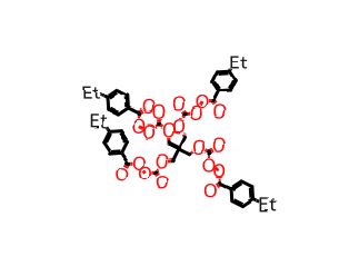 CCc1ccc(C(=O)OOC(=O)OCC(COC(=O)OOC(=O)c2ccc(CC)cc2)(COC(=O)OOC(=O)c2ccc(CC)cc2)COC(=O)OOC(=O)c2ccc(CC)cc2)cc1